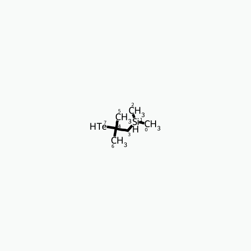 C[SiH](C)CC(C)(C)[TeH]